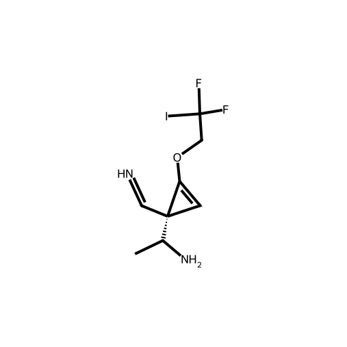 CC(N)[C@@]1(C=N)C=C1OCC(F)(F)I